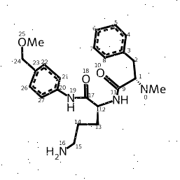 CN[C@@H](Cc1ccccc1)C(=O)N[C@@H](CCCN)C(=O)Nc1ccc(COC)cc1